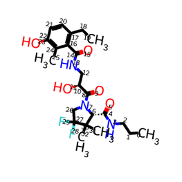 CCCNC(=O)[C@H]1N(C(=O)[C@@H](O)CNC(=O)c2c(CC)ccc(O)c2C)CC(F)(F)C1(C)C